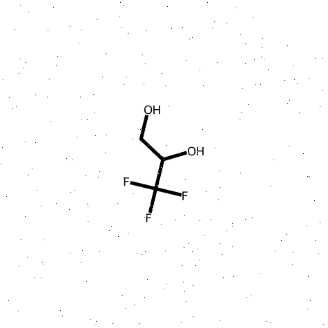 OC[C](O)C(F)(F)F